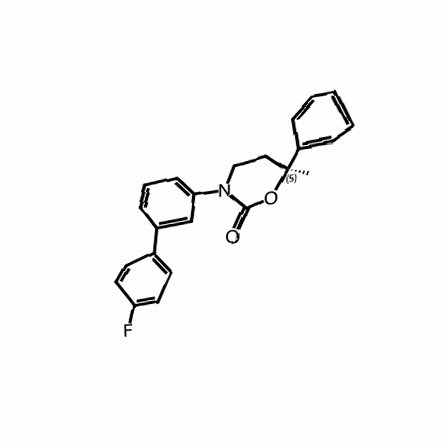 C[C@@]1(c2ccccc2)CCN(c2cccc(-c3ccc(F)cc3)c2)C(=O)O1